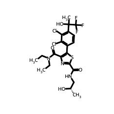 CCN(CC)C(=O)c1nc(C(=O)NC[C@H](C)O)sc1-c1ccc(C(C)(O)C(F)(F)F)c(Cl)c1Cl